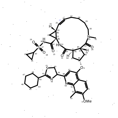 COc1ccc2c(O[C@@H]3C[C@H]4C(=O)N[C@]5(C(=O)NS(=O)(=O)C6CC6)C[C@@H]5/C=C\CCCCN(C)C(=O)[C@@H]4C3)cc(C3CSC(C4CCCCC4)=N3)nc2c1C